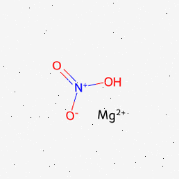 O=[N+]([O-])O.[Mg+2]